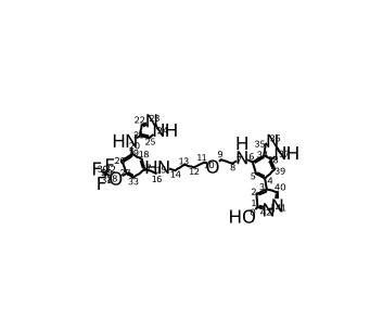 Oc1cc(-c2cc(NCCOCCCCNCc3cc(Nc4cn[nH]c4)cc(OC(F)(F)F)c3)c3cn[nH]c3c2)cnn1